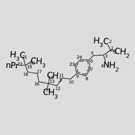 C=C(C)C(N)Cc1ccc(CCCC(C)(C)CCCC(C)(C)CCC)cc1